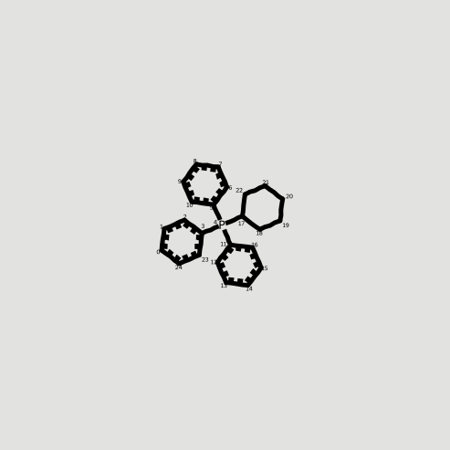 c1ccc([P](c2ccccc2)(c2ccccc2)C2CCCCC2)cc1